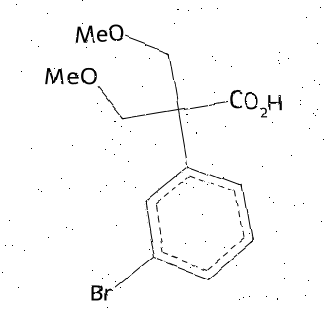 COCC(COC)(C(=O)O)c1cccc(Br)c1